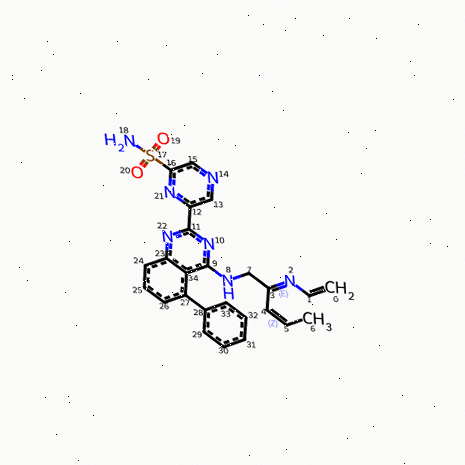 C=C/N=C(\C=C/C)CNc1nc(-c2cncc(S(N)(=O)=O)n2)nc2cccc(-c3ccccc3)c12